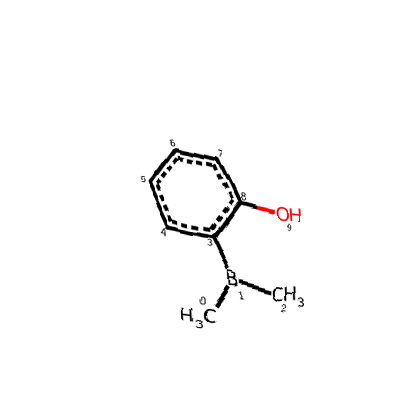 CB(C)c1ccccc1O